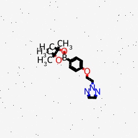 CC1(C)OB(c2ccc(OCCn3nccn3)cc2)OC1(C)C